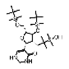 CC(C)(C[C@H]1C(O[Si](C)(C)C(C)(C)C)[C@@H](CO[Si](C)(C)C(C)(C)C)O[C@H]1C1=CNCNC1=O)[Si](C)(C)O